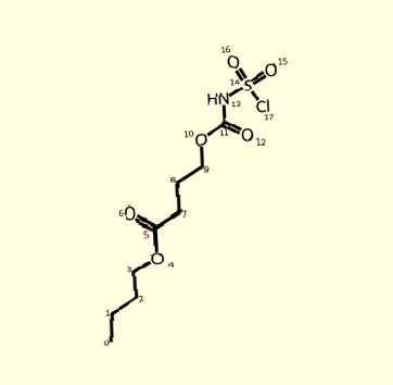 CCCCOC(=O)CCCOC(=O)NS(=O)(=O)Cl